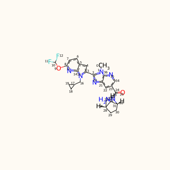 Cn1c(-c2cc3ccc(OC(F)F)nc3n2CC2CC2)nc2cc(C(=O)N3C[C@H]4CC[C@@H]3[C@@H]4N)cnc21